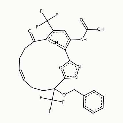 O=C(O)Nc1cc(C(F)(F)F)c2nc1-c1nnc(o1)C(OCc1ccccc1)(C(F)(F)F)CCC=CCCC2=O